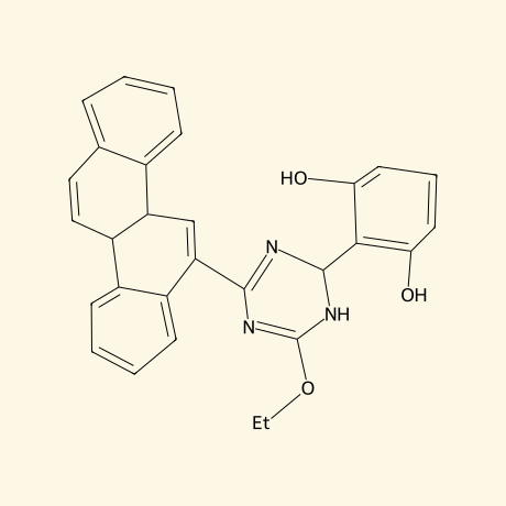 CCOC1=NC(C2=CC3c4ccccc4C=CC3c3ccccc32)=NC(c2c(O)cccc2O)N1